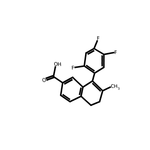 CC1=C(c2cc(F)c(F)cc2F)c2cc(C(=O)O)ccc2CC1